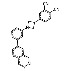 N#Cc1ccc(C2CN(c3cccc(-c4cnc5cnncc5c4)c3)C2)cc1C#N